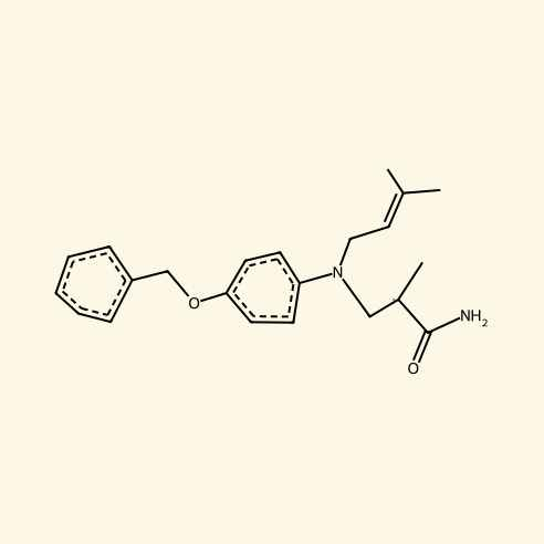 C[C](CN(CC=C(C)C)c1ccc(OCc2ccccc2)cc1)C(N)=O